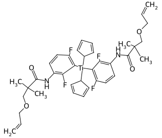 C=CCOCC(C)(C)C(=O)Nc1ccc(F)[c]([Ti]([c]2c(F)ccc(NC(=O)C(C)(C)COCC=C)c2F)([CH]2C=CC=C2)[CH]2C=CC=C2)c1F